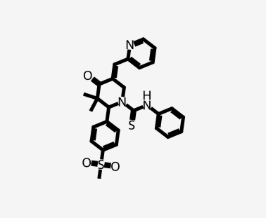 CC1(C)C(=O)C(=Cc2ccccn2)CN(C(=S)Nc2ccccc2)C1c1ccc(S(C)(=O)=O)cc1